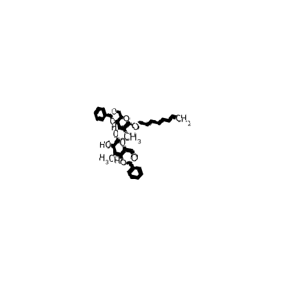 C=CCCCCCCO[C@@H]1OC2COC(c3ccccc3)O[C@@H]2[C@H](O[C@@H]2OC3COC(c4ccccc4)O[C@@H]3[C@H](C)C2O)C1C